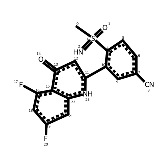 CS(=N)(=O)c1ccc(C#N)cc1-c1cc(=O)c2c(F)cc(F)cc2[nH]1